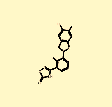 O=c1[nH]c(-c2cccc(C3Cc4cc(Cl)c(F)cc4O3)c2F)no1